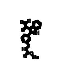 CC(C)(C)OC(=O)NCc1cccc(-c2[nH]c3ccccc3c2C(=O)C(=O)Cl)c1